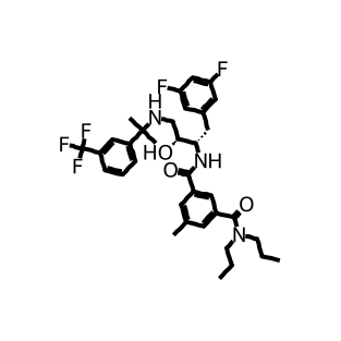 CCCN(CCC)C(=O)c1cc(C)cc(C(=O)N[C@@H](Cc2cc(F)cc(F)c2)[C@H](O)CNC(C)(C)c2cccc(C(F)(F)F)c2)c1